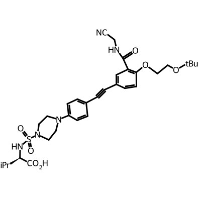 CC(C)[C@@H](NS(=O)(=O)N1CCN(c2ccc(C#Cc3ccc(OCCOC(C)(C)C)c(C(=O)NCC#N)c3)cc2)CC1)C(=O)O